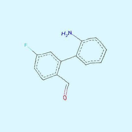 Nc1ccccc1-c1cc(F)ccc1C=O